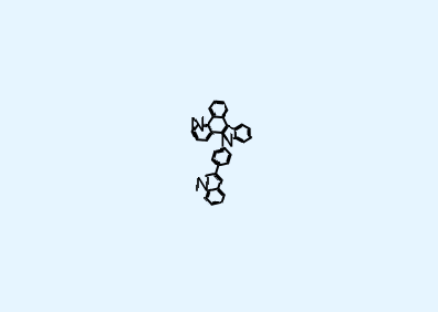 c1ccc2ncc(-c3ccc(-n4c5ccccc5c5c6ccccc6c6ncccc6c54)cc3)cc2c1